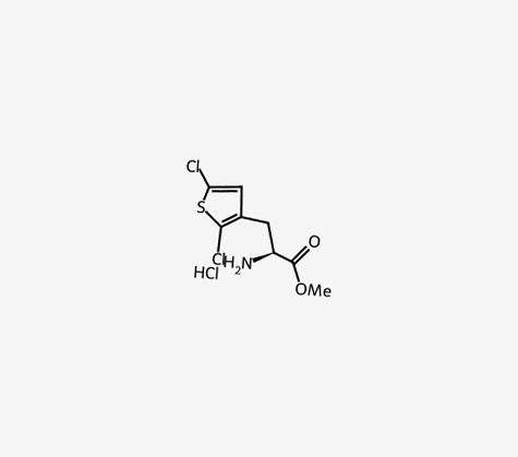 COC(=O)[C@@H](N)Cc1cc(Cl)sc1Cl.Cl